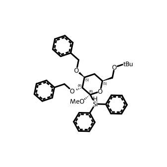 CO[C@@]1([SiH](c2ccccc2)c2ccccc2)O[C@H](COC(C)(C)C)C[C@H](OCc2ccccc2)[C@H]1OCc1ccccc1